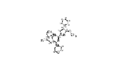 CCn1c(Br)nc2c(N3CCOCC3)nc(-n3cc(-c4ccccc4)c(OC)n3)nc21